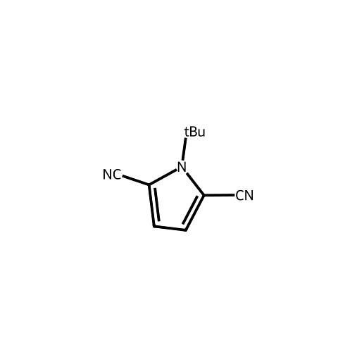 CC(C)(C)n1c(C#N)ccc1C#N